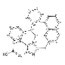 O=C(O)CSc1nnc(Cc2ccc3ccccc3c2)n1CC(c1ccccc1)c1ccccc1